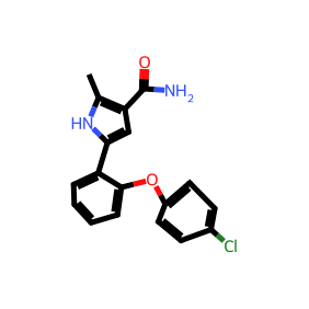 Cc1[nH]c(-c2ccccc2Oc2ccc(Cl)cc2)cc1C(N)=O